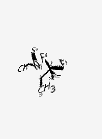 CCC(F)(F)F.S=PCl